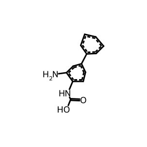 Nc1cc(-c2ccccc2)ccc1NC(=O)O